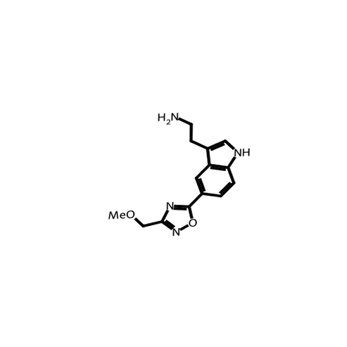 COCc1noc(-c2ccc3[nH]cc(CCN)c3c2)n1